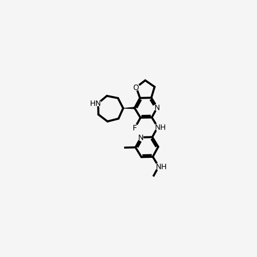 CNc1cc(C)nc(Nc2nc3c(c([C@H]4CCCNCC4)c2F)OCC3)c1